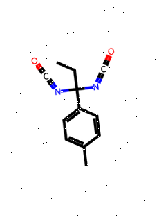 CCC(N=C=O)(N=C=O)c1ccc(C)cc1